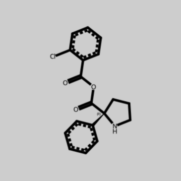 O=C(OC(=O)[C@]1(c2ccccc2)CCCN1)c1ccccc1Cl